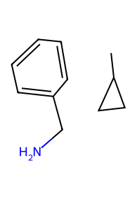 CC1CC1.NCc1ccccc1